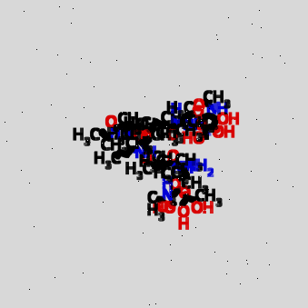 C/C=C(\C)NC(=O)C(C)(C)CC(C)(C)OCC(COC(C)(C)CC(C)(C)C(=O)NC(C)(N)CC(C)(C)OC1OC(CO)C(O)C(O)C1NC(C)=O)(COC(C)(C)CC(C)(C)C(=O)NC(C)(N)CC(C)(C)OC(OC(CO)[C@@H](C)O)[C@H](CO)NC(C)=O)NC(C)CCC